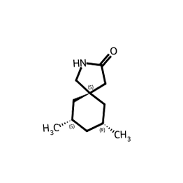 C[C@@H]1C[C@H](C)C[C@]2(CNC(=O)C2)C1